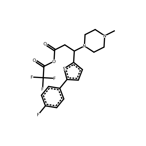 CN1CCN(C(CC(=O)OC(=O)C(F)(F)F)c2ccc(-c3ccc(F)cc3)s2)CC1